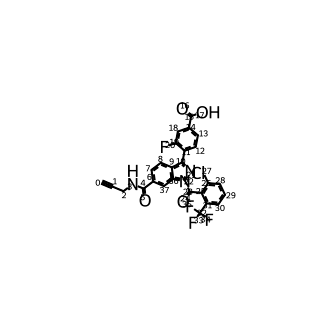 C#CCNC(=O)c1ccc2c(-c3ccc(C(=O)O)cc3F)nn(C(=O)c3c(Cl)cccc3C(F)(F)F)c2c1